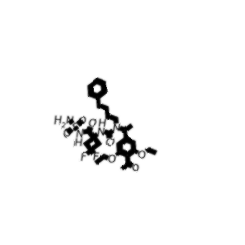 CCOc1cc(C(C)N(CCCCc2ccccc2)C(=O)NC2(C(=O)NS(N)(=O)=O)CC(F)(F)C2)cc(OCC)c1C(C)=O